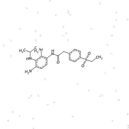 [2H]c1c(NC(=O)Cc2ccc(S(=O)(=O)CC)cc2)ccc(N)c1NC(C)C